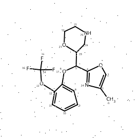 Cc1coc(C(Oc2ccccc2OC(F)(F)F)C2CNCCO2)n1